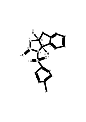 Cc1ccc(S(=O)(=O)N2[C@H]3c4ccccc4C[C@H]3OS2=O)cc1